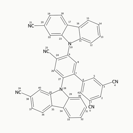 N#Cc1cc(C#N)cc(-c2cc(-n3c4ccccc4c4ccc(C#N)cc43)c(C#N)cc2-n2c3ccccc3c3ccc(C#N)cc32)c1